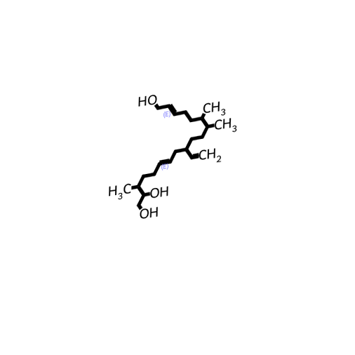 C=CC(C/C=C/CCC(C)C(O)CO)CCC(C)C(C)CC/C=C/CO